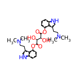 CN(C)CCc1c[nH]c2cccc(OC(=O)C(O)C(O)C(=O)Oc3cccc4[nH]cc(CCN(C)C)c34)c12